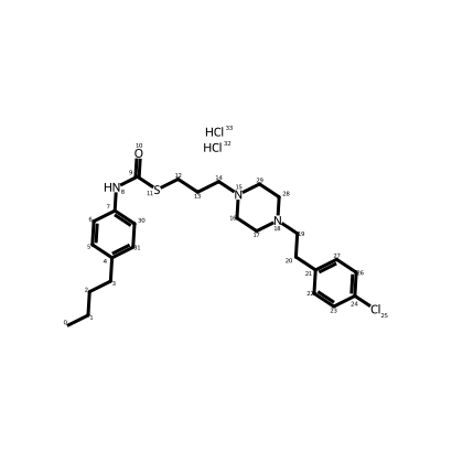 CCCCc1ccc(NC(=O)SCCCN2CCN(CCc3ccc(Cl)cc3)CC2)cc1.Cl.Cl